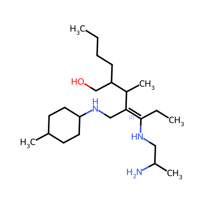 CCCCC(CO)C(C)/C(CNC1CCC(C)CC1)=C(\CC)NCC(C)N